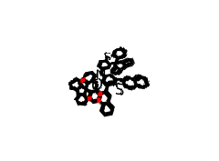 c1ccc2c(c1)Oc1c(N(c3ccc4c(c3)C3(c5ccccc5S4)c4ccccc4-c4ccccc43)c3cc(-c4ccc5ccccc5c4)c4sc5cc6ccccc6cc5c4c3)cccc1C21c2ccccc2-c2ccccc21